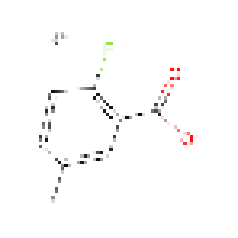 Cc1ccc(F)c(C(=O)[O-])c1.[K+]